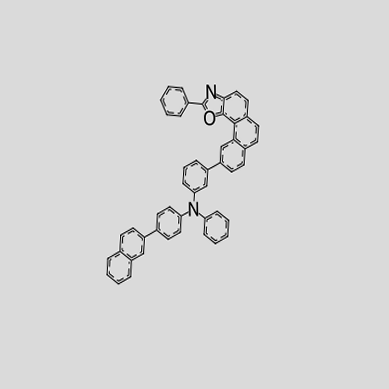 c1ccc(-c2nc3ccc4ccc5ccc(-c6cccc(N(c7ccccc7)c7ccc(-c8ccc9ccccc9c8)cc7)c6)cc5c4c3o2)cc1